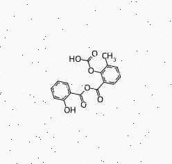 Cc1cccc(C(=O)OC(=O)c2ccccc2O)c1OC(=O)O